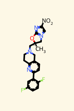 C[C@]1(CN2CCc3nc(-c4cc(F)ccc4F)ccc3C2)Cn2cc([N+](=O)[O-])nc2O1